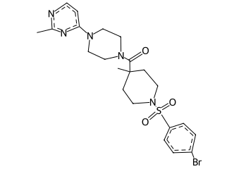 Cc1nccc(N2CCN(C(=O)C3(C)CCN(S(=O)(=O)c4ccc(Br)cc4)CC3)CC2)n1